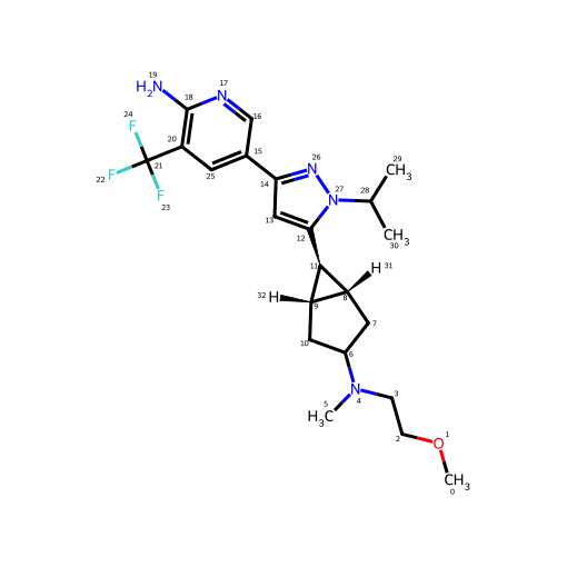 COCCN(C)C1C[C@@H]2[C@H](C1)[C@H]2c1cc(-c2cnc(N)c(C(F)(F)F)c2)nn1C(C)C